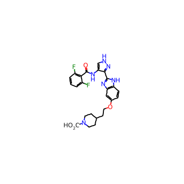 O=C(Nc1c[nH]nc1-c1nc2cc(OCCC3CCN(C(=O)O)CC3)ccc2[nH]1)c1c(F)cccc1F